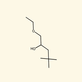 CCOCC(O)CC(C)(C)C